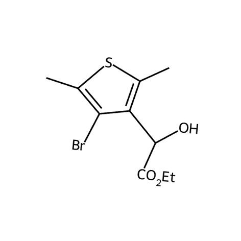 CCOC(=O)C(O)c1c(C)sc(C)c1Br